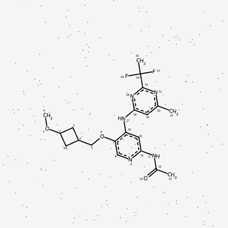 COC1CC(COc2cnc(NC(C)=O)cc2Nc2cc(C)nc(C(C)(F)F)n2)C1